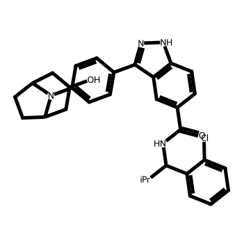 CC(C)C(NC(=O)c1ccc2[nH]nc(-c3ccc(N4C5CCC4CC(O)C5)cc3)c2c1)c1ccccc1Cl